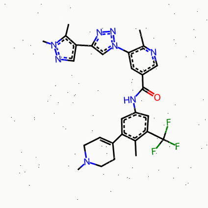 Cc1ncc(C(=O)Nc2cc(C3=CCN(C)CC3)c(C)c(C(F)(F)F)c2)cc1-n1cc(-c2cnn(C)c2C)nn1